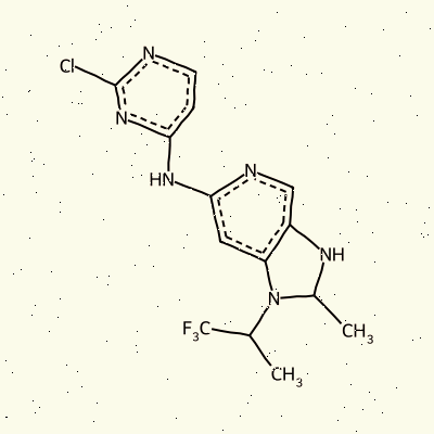 CC1Nc2cnc(Nc3ccnc(Cl)n3)cc2N1C(C)C(F)(F)F